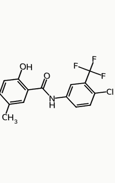 Cc1ccc(O)c(C(=O)Nc2ccc(Cl)c(C(F)(F)F)c2)c1